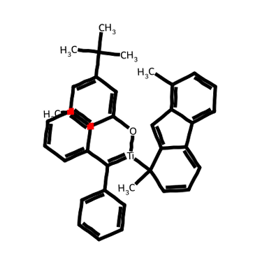 Cc1cc([O][Ti](=[C](c2ccccc2)c2ccccc2)[C]2(C)C=CC=C3C2=Cc2c(C)cccc23)cc(C(C)(C)C)c1